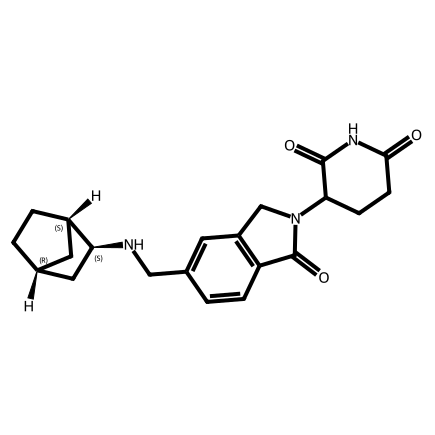 O=C1CCC(N2Cc3cc(CN[C@H]4C[C@@H]5CC[C@H]4C5)ccc3C2=O)C(=O)N1